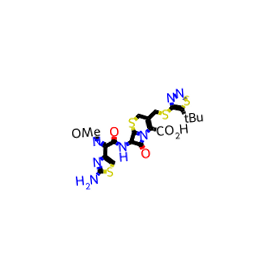 CO/N=C(\C(=O)NC1C(=O)N2C(C(=O)O)=C(CSc3nnsc3C(C)(C)C)CSC12)c1csc(N)n1